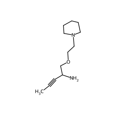 CC#CC(N)COCCN1CCCCC1